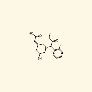 COC(=O)C(c1ccccc1Cl)N1CC(=CC(=O)O)CC(S)C1